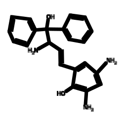 Nc1cc(N)c(O)c(C=CC(N)C(O)(c2ccccc2)c2ccccc2)c1